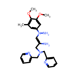 COc1cc(N(N)/C=C(\N)CN(Cc2ccccn2)Cc2ccccn2)cc(C)c1OC